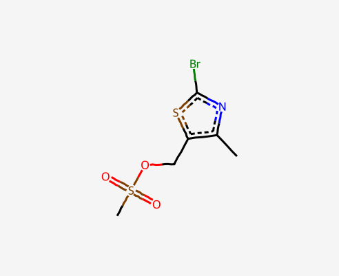 Cc1nc(Br)sc1COS(C)(=O)=O